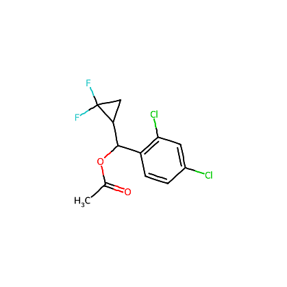 CC(=O)OC(c1ccc(Cl)cc1Cl)C1CC1(F)F